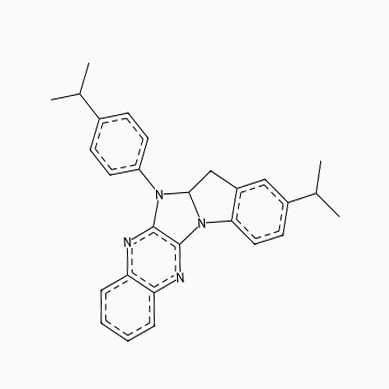 CC(C)c1ccc(N2c3nc4ccccc4nc3N3c4ccc(C(C)C)cc4CC23)cc1